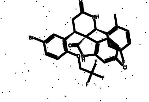 Cc1ccc(F)cc1[C@@H]1NC(=O)C[C@H](c2cc(Br)ccc2OCC(F)(F)F)[C@@]12C(=O)Nc1cc(Cl)ccc12